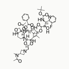 CC(=O)O[C@@]12CO[C@@H]1CC[C@@]1(C)[C@@H]3O[C@H](CN4CC(N(C)C(C)=O)C4)O[C@@H]3C3=C(C)[C@@H](OC(=O)[C@H](O)[C@@H](NC(=O)OC(C)(C)C)c4ncccc4F)C[C@@](O)([C@@H](OC(=O)c4ccccc4)[C@@H]12)C3(C)C